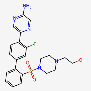 Nc1cnc(-c2ccc(-c3ccccc3S(=O)(=O)N3CCN(CCO)CC3)cc2F)cn1